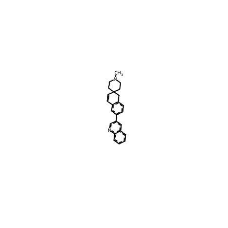 CN1CCC2(C=Cc3cc(-c4cnc5ccccc5c4)ccc3C2)CC1